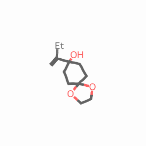 C=C(CC)C1(O)CCC2(CC1)OCCO2